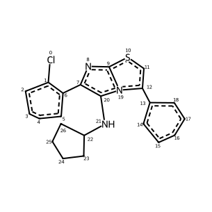 Clc1ccccc1-c1nc2scc(-c3ccccc3)n2c1NC1CCCC1